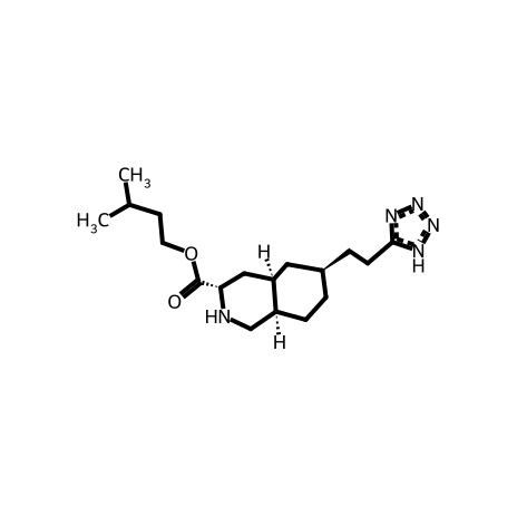 CC(C)CCOC(=O)[C@@H]1C[C@H]2C[C@@H](CCc3nnn[nH]3)CC[C@H]2CN1